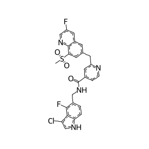 CS(=O)(=O)c1cc(Cc2cc(C(=O)NCc3ccc4[nH]cc(Cl)c4c3F)ccn2)cc2cc(F)cnc12